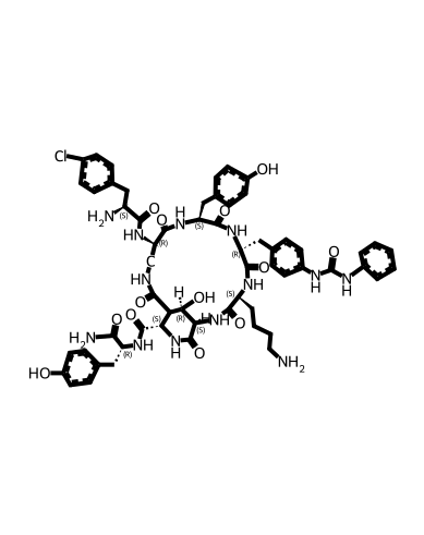 NCCCC[C@@H]1NC(=O)[C@@H](Cc2ccc(NC(=O)Nc3ccccc3)cc2)NC(=O)[C@H](Cc2ccc(O)cc2)NC(=O)[C@H](NC(=O)[C@@H](N)Cc2ccc(Cl)cc2)CNC(=O)C2[C@@H](C(=O)N[C@H](Cc3ccc(O)cc3)C(N)=O)NC(=O)[C@@H](NC1=O)[C@@H]2O